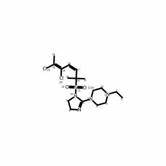 CCN1CCN(C2=NCCN2S(=O)(=O)C(C)(C)/C=C\C(Cl)=C(/C)Cl)CC1